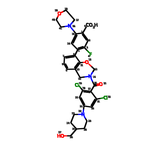 O=C(O)c1cc(F)c(-c2cccc3c2OCN(C(=O)c2c(Cl)cc(N4CCC(CO)CC4)cc2Cl)C3)cc1N1CCOCC1